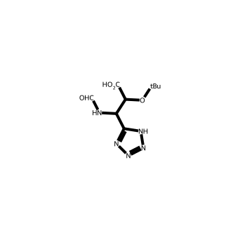 CC(C)(C)OC(C(=O)O)C(NC=O)c1nnn[nH]1